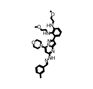 COCCNc1cccc(-c2cc3nc(NN=Cc4cccc(C)c4)cc(N4CCOCC4)n3n2)c1NCCOC